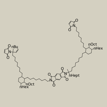 CCCC/C=C\C(C)(CCCCCCCCC1CCC(CCCCCC)C(CCCCCCCC)C1CCCCCCCCn1c(=O)c2cc3c(=O)n(C(C)(CCCCCCC)CCCCCCCCC4CCC(CCCCCC)C(CCCCCCCC)C4CCCCCCCCN4C(=O)C=CC4=O)c(=O)c3cc2c1=O)N1C(=O)C=CC1=O